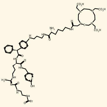 CCC(=O)NCCNC(=O)/N=C(/N)NCCC[C@@H](NC(=O)[C@@H](c1ccccc1)c1ccc(NCCCNC(=O)[C@H](N)CCCCNC(=O)CN2CCN(CC(=O)O)CCN(CC(=O)O)CCN(CC(=O)O)CC2)cc1)C(=O)NCc1ccc(O)cc1